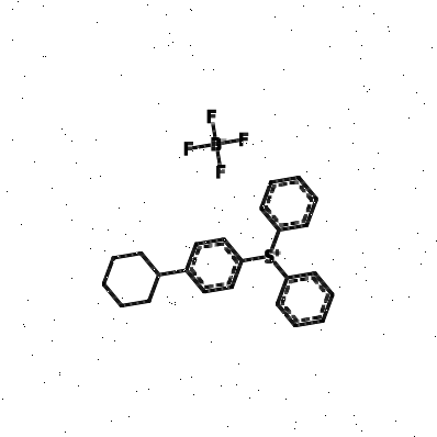 F[B-](F)(F)F.c1ccc([S+](c2ccccc2)c2ccc(C3CCCCC3)cc2)cc1